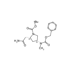 CN(C(=O)OCc1ccccc1)[C@@H]1C[C@H](CC(N)=O)N(C(=O)OC(C)(C)C)C1